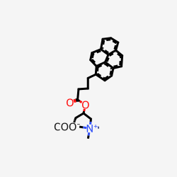 C[N+](C)(C)CC(CC(=O)[O-])OC(=O)CCCc1ccc2ccc3cccc4ccc1c2c34